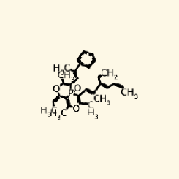 C=CC(=C\C=C/C)/C(C)=C/C1=C(C)OC(C)=C2/C(=C\C)OC(C)=C(/C=C(\C)c3ccccc3)P12=O